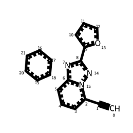 C#Cc1cccc2nc(-c3ccco3)nn12.c1ccccc1